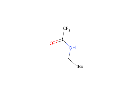 CC(C)(C)CNC(=O)C(F)(F)F